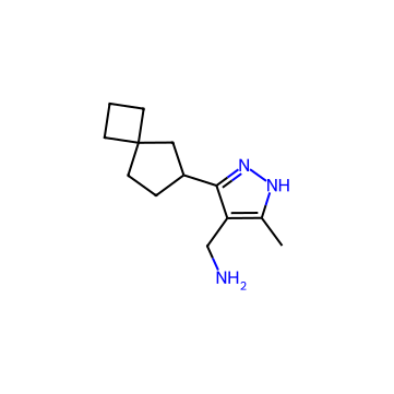 Cc1[nH]nc(C2CCC3(CCC3)C2)c1CN